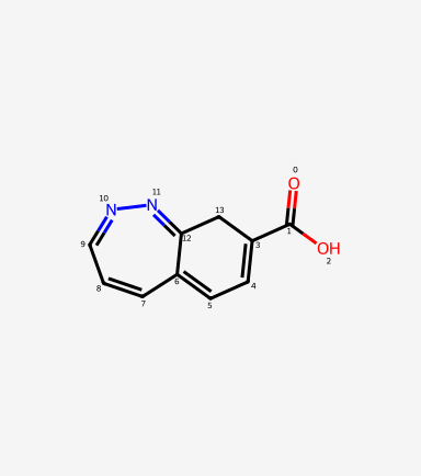 O=C(O)C1=CC=C2C=CC=NN=C2C1